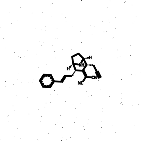 C#CC[C@@H]1C(=C(C#N)C#N)[C@H](C/C=C/c2ccccc2)[C@H]2CC[C@@H]1N2